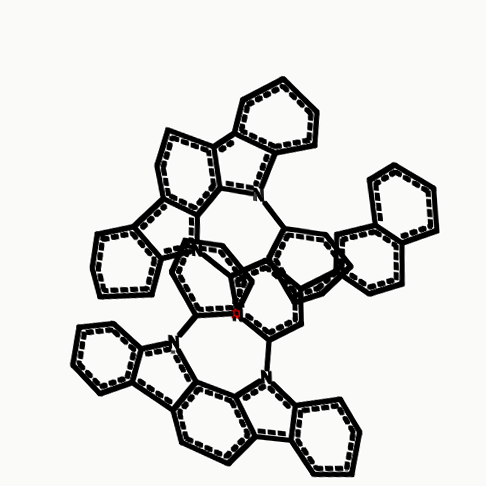 c1ccc(-n2c3ccccc3c3ccc4c5ccccc5n(-c5cc(-c6ccc7ccccc7c6)cc(-n6c7ccccc7c7ccc8c9ccccc9n(-c9ccccc9)c8c76)n5)c4c32)cc1